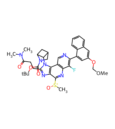 COCOc1cc(-c2ncc3c(nc([S+](C)[O-])c4nc(CCC(=O)N(C)C)n(C5C6CC5N(C(=O)OC(C)(C)C)C6)c43)c2F)c2ccccc2c1